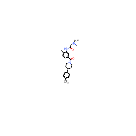 CCCCN(C)CC(=O)Nc1cc(C(=O)N2CCC(c3ccc(C(F)(F)F)cc3)CC2)ccc1C